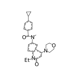 CCn1c(=O)cc(N2CCOCC2)c2cc(N(C)C(=O)c3ccc(C4CC4)cc3)ccc21